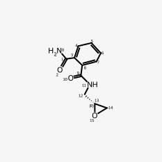 NC(=O)c1ccccc1C(=O)NC[C@@H]1CO1